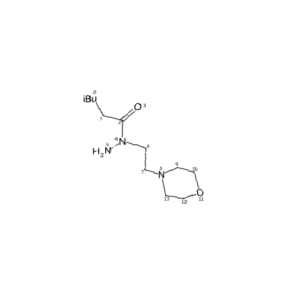 CCC(C)CC(=O)N(N)CCN1CCOCC1